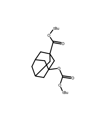 CC(C)(C)OC(=O)OC12CC3CC(C1)CC(C(=O)OC(C)(C)C)(C3)C2